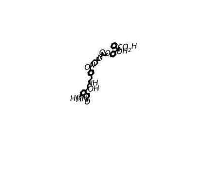 O=C(COc1cccc(C(O)(C(=O)O)c2ccccc2)c1)N1CC2(CCN(C(=O)c3ccc(CCNCC(O)c4ccc(O)c5[nH]c(=O)ccc45)cc3)CC2)C1